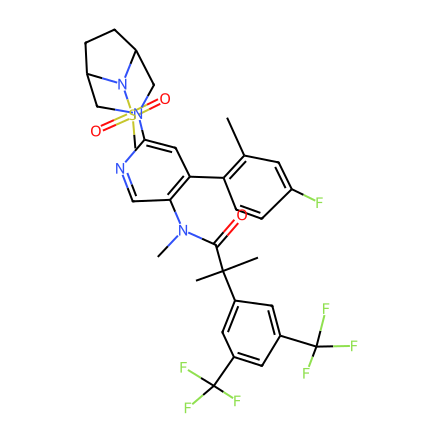 Cc1cc(F)ccc1-c1cc(N2CC3CCC(C2)N3S(C)(=O)=O)ncc1N(C)C(=O)C(C)(C)c1cc(C(F)(F)F)cc(C(F)(F)F)c1